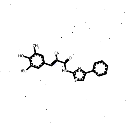 Cc1cc(/C=C(\C#N)C(=O)Nc2nc(-c3ccccc3)cs2)cc(C(C)(C)C)c1O